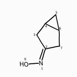 ON=C1CC2CC2C1